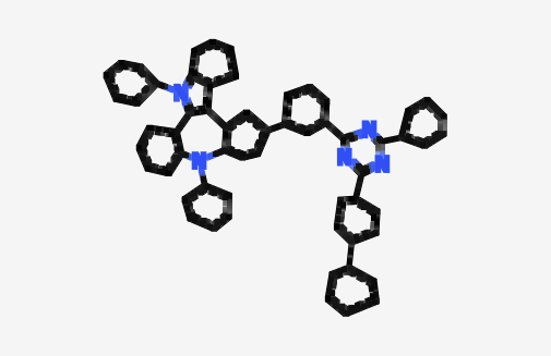 c1ccc(-c2ccc(-c3nc(-c4ccccc4)nc(-c4cccc(-c5ccc6c(c5)-c5c(n(-c7ccccc7)c7ccccc57)-c5ccccc5N6c5ccccc5)c4)n3)cc2)cc1